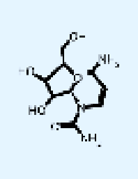 C=C(N)/C=C\N(C(N)=O)[C@@H]1O[C@H](CO)C(O)C1O